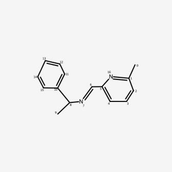 Cc1cccc(/C=N/C(C)c2ccccc2)n1